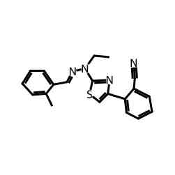 CCN(/N=C/c1ccccc1C)c1nc(-c2ccccc2C#N)cs1